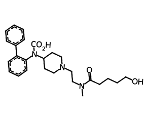 CN(CCN1CCC(N(C(=O)O)c2ccccc2-c2ccccc2)CC1)C(=O)CCCCO